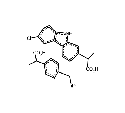 CC(C(=O)O)c1ccc2c(c1)[nH]c1ccc(Cl)cc12.CC(C)Cc1ccc(C(C)C(=O)O)cc1